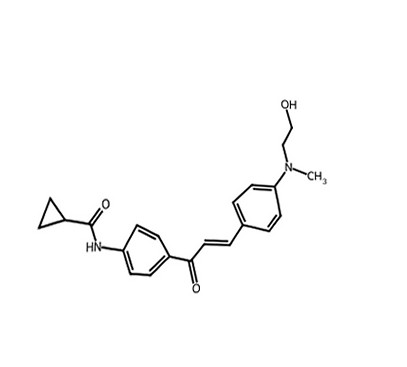 CN(CCO)c1ccc(/C=C/C(=O)c2ccc(NC(=O)C3CC3)cc2)cc1